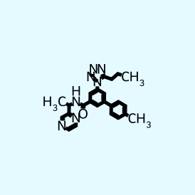 CCCc1nnnn1-c1cc(C(=O)NC(C)c2cnccn2)cc(-c2ccc(C)cc2)c1